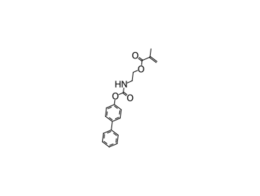 C=C(C)C(=O)OCCNC(=O)Oc1ccc(-c2ccccc2)cc1